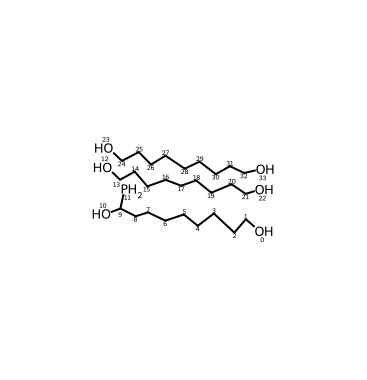 OCCCCCCCCC(O)P.OCCCCCCCCCO.OCCCCCCCCCO